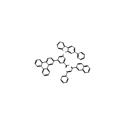 c1ccc(-c2ccc3c4ccccc4n(-c4cc(-c5ccc6c7ccccc7c7ccccc7c6c5)cc(-c5nc(-c6ccccc6)cc(-c6ccc7ccccc7c6)n5)c4)c3c2)cc1